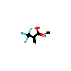 C=C(C(=O)O)C(F)(F)F.[LiH]